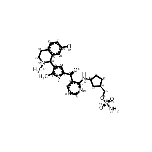 Cc1sc(C(=O)c2cncnc2N[C@H]2CC[C@@H](COS(N)(=O)=O)C2)cc1C1c2cc(Cl)ccc2CCN1C